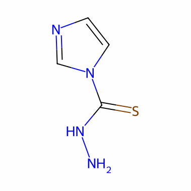 NNC(=S)n1ccnc1